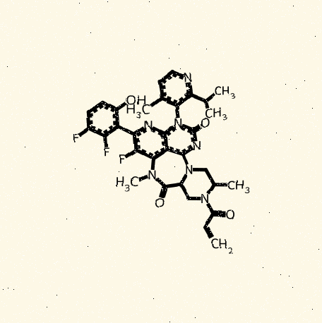 C=CC(=O)N1CC2C(=O)N(C)c3c(F)c(-c4c(O)ccc(F)c4F)nc4c3c(nc(=O)n4-c3c(C)ccnc3C(C)C)N2CC1C